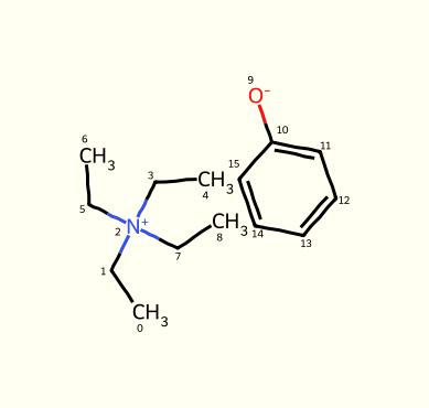 CC[N+](CC)(CC)CC.[O-]c1ccccc1